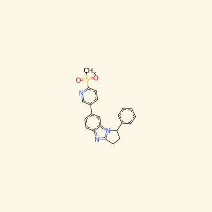 CS(=O)(=O)c1ccc(-c2ccc3nc4n(c3c2)C(c2ccccc2)CC4)cn1